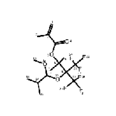 C=C(C)C(=O)OC(C)(C)C(OC(OC)C(C)C)(C(F)(F)F)C(F)(F)F